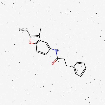 CCOC(=O)c1oc2ccc(NC(=O)CCc3ccccc3)cc2c1C